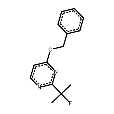 CC(C)(F)c1nccc(OCc2ccccc2)n1